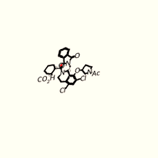 CC(=O)N1CCC(Oc2c(Cl)cc(Cl)c3c2[C@@H](CN2C(=O)c4ccccc4C2=O)N(C(=O)[C@@H]2CCCC[C@@H]2C(=O)O)CC3)C1